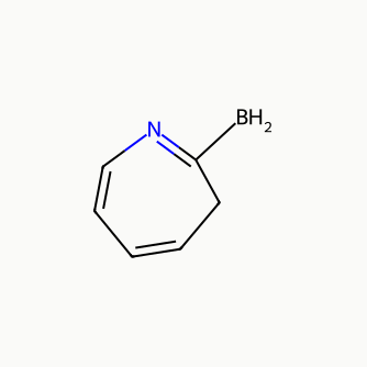 BC1=NC=CC=CC1